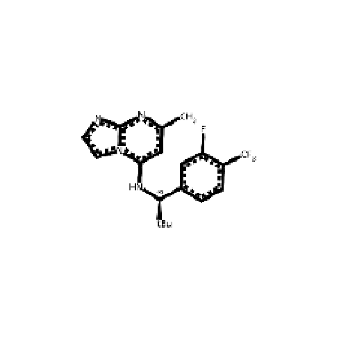 Cc1cc(N[C@@H](c2ccc(C(F)(F)F)c(F)c2)C(C)(C)C)n2ccnc2n1